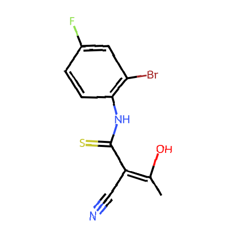 CC(O)=C(C#N)C(=S)Nc1ccc(F)cc1Br